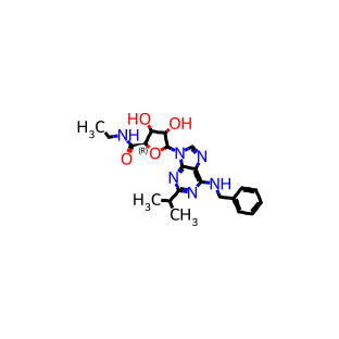 CCNC(=O)[C@@H]1OC(n2cnc3c(NCc4ccccc4)nc(C(C)C)nc32)C(O)C1O